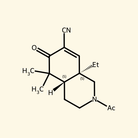 CC[C@@]12C=C(C#N)C(=O)C(C)(C)[C@H]1CCN(C(C)=O)C2